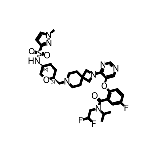 CC(C)N(CC(F)F)C(=O)c1cc(F)ccc1Oc1cncnc1N1CC2(CCN(C[C@@H]3CC[C@@H](NS(=O)(=O)c4ccn(C)n4)CO3)CC2)C1